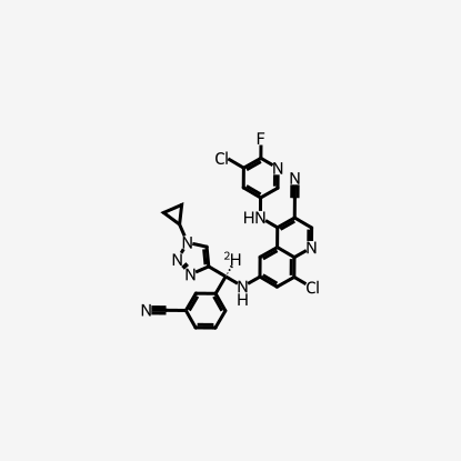 [2H][C@](Nc1cc(Cl)c2ncc(C#N)c(Nc3cnc(F)c(Cl)c3)c2c1)(c1cccc(C#N)c1)c1cn(C2CC2)nn1